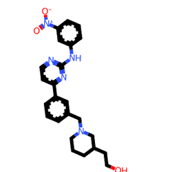 O=[N+]([O-])c1cccc(Nc2nccc(-c3cccc(CN4CCCC(CCO)C4)c3)n2)c1